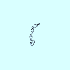 Cc1cnc2c(OC3CCN(CCc4ccc(OC5CCN(C6CCC6)CC5)cc4)CC3)cccc2c1